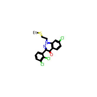 CCSCCn1nc(-c2cccc(Cl)c2Cl)c(=O)c2ccc(Cl)cc21